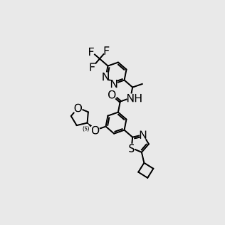 CC(NC(=O)c1cc(O[C@H]2CCOC2)cc(-c2ncc(C3CCC3)s2)c1)c1ccc(C(F)(F)F)nn1